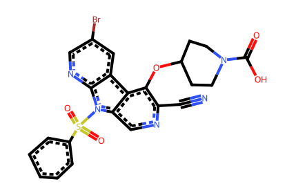 N#Cc1ncc2c(c1OC1CCN(C(=O)O)CC1)c1cc(Br)cnc1n2S(=O)(=O)c1ccccc1